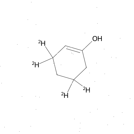 [2H]C1([2H])C=C(O)CC([2H])([2H])C1